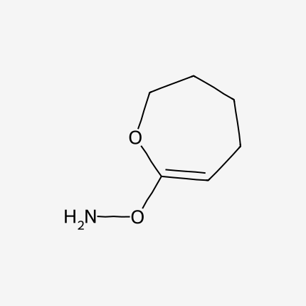 NOC1=CCCCCO1